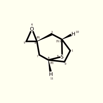 C1C[C@H]2C[C@]3(CO3)C[C@@H]1S2